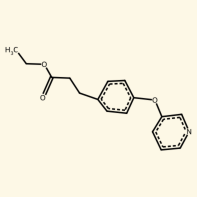 CCOC(=O)CCc1ccc(Oc2cccnc2)cc1